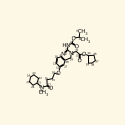 CC(C)OC(=O)NC1=Nc2ccc(OCCCC(=O)N(C)C3CCCCC3)cc2CN1CC(=O)OC1CCCC1